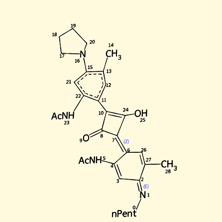 CCCCC/N=C1C=C(NC(C)=O)/C(=C2\C(=O)C(c3cc(C)c(N4CCCC4)cc3NC(C)=O)=C2O)C=C\1C